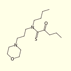 CCCCN(CCCN1CCOCC1)C(=S)C(=O)CCC